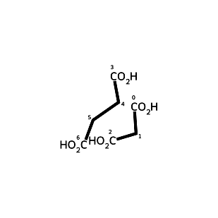 O=C(O)CC(=O)O.O=C(O)CCC(=O)O